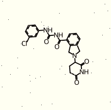 O=C1CCC(N2Cc3cccc(C(=O)NC(=O)Nc4cccc(Cl)c4)c3C2)C(=O)N1